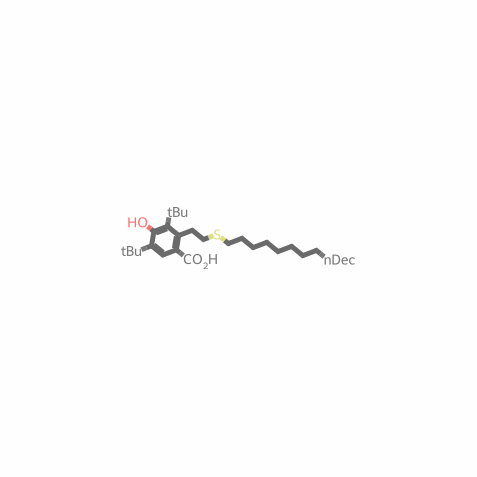 CCCCCCCCCCCCCCCCCCSCCc1c(C(=O)O)cc(C(C)(C)C)c(O)c1C(C)(C)C